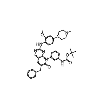 COc1cc(N2CCN(C)CC2)ccc1Nc1ncc2cc(Cc3ccccc3)c(=O)n(-c3cccc(NC(=O)OC(C)(C)C)c3)c2n1